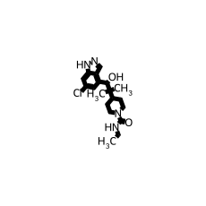 CCNC(=O)N1CCC(C(C)(C)C(O)c2cc(Cl)cc3[nH]ncc23)CC1